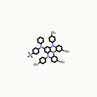 CC(C)(C)c1ccc(N2c3ccc(C(C)(C)C)cc3B3c4cc(C(C)(C)C)ccc4N(c4ccc(C(C)(C)C)cc4)c4cc(N(c5ccccc5)c5ccc([Si](C)(C)C)cc5)cc2c43)cc1